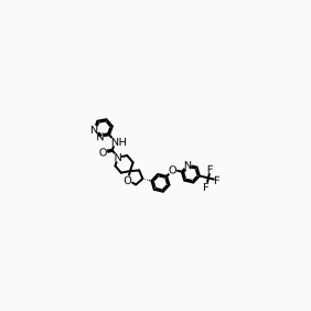 O=C(Nc1cccnn1)N1CCC2(CC1)C[C@H](c1cccc(Oc3ccc(C(F)(F)F)cn3)c1)CO2